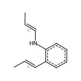 C/C=C/Nc1ccccc1/C=C/C